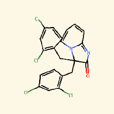 O=C1N=C2C=CC=CN2C1(Cc1ccc(Cl)cc1Cl)Cc1ccc(Cl)cc1Cl